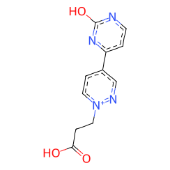 O=C(O)CC[n+]1ccc(-c2ccnc(O)n2)cn1